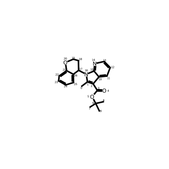 Cc1c(C(=O)OC(C)(C)C)c2cccnc2n1C1CCOc2ccccc21